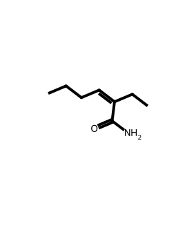 CCC/C=C(/CC)C(N)=O